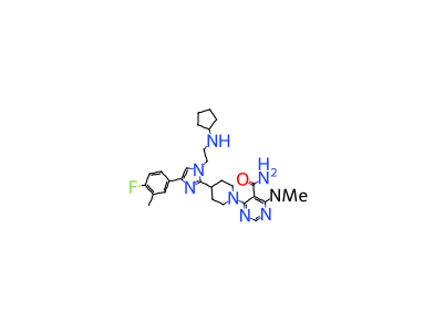 CNc1ncnc(N2CCC(c3nc(-c4ccc(F)c(C)c4)cn3CCNC3CCCC3)CC2)c1C(N)=O